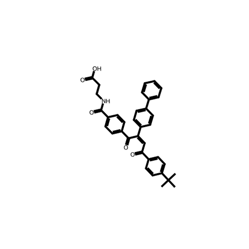 CC(C)(C)c1ccc(C(=O)/C=C(\C(=O)c2ccc(C(=O)NCCC(=O)O)cc2)c2ccc(-c3ccccc3)cc2)cc1